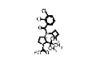 CC(C)(C)C1[C@@H](N(C(=O)c2cccc(Cl)c2Cl)C2CCC2)CCN1C(=O)O